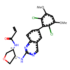 C=CC(=O)N[C@H]1COC[C@H]1Nc1ncc2cc(-c3c(Cl)c(OC)cc(OC)c3Cl)ccc2n1